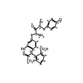 CCc1cc(C[C@H](N)C(=O)N(Cc2ccc(Cl)cc2)C(C)=O)ccc1N(C(=O)C(=O)O)c1ccccc1C(=O)O